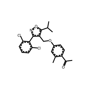 CC(=O)c1ccc(OCc2c(-c3c(Cl)cccc3Cl)noc2C(C)C)cc1C